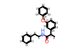 CC(C(=O)NCCc1ccccc1)c1cccc(Oc2ccccc2)c1